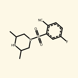 CC1CN(S(=O)(=O)c2cc(F)ccc2C#N)CC(C)N1